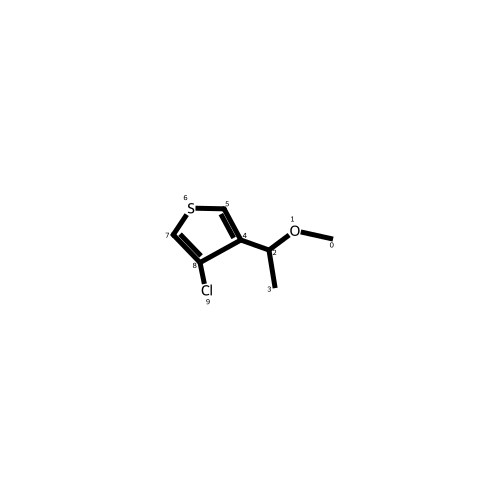 COC(C)c1cscc1Cl